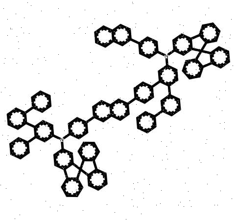 c1ccc(-c2cccc(-c3ccc(N(c4ccc(-c5ccc6ccccc6c5)cc4)c4ccc5c(c4)C4(c6ccccc6-c6ccccc64)c4ccccc4-5)cc3-c3ccc(-c4ccc5cc(-c6ccc(N(c7ccc(-c8ccccc8-c8ccccc8)c(-c8ccccc8)c7)c7ccc8c(c7)C7(c9ccccc9-c9ccccc97)c7ccccc7-8)cc6)ccc5c4)cc3)c2)cc1